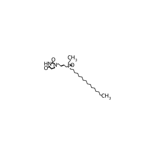 CCCCCCCCCCCCCCCCP(=O)(C/C=C/Cn1ccc(=O)[nH]c1=O)CCC